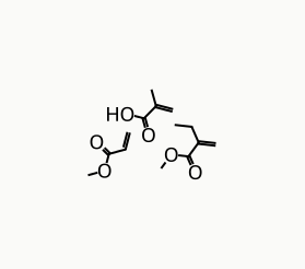 C=C(C)C(=O)O.C=C(CC)C(=O)OC.C=CC(=O)OC